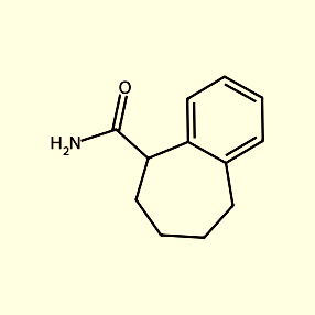 NC(=O)C1CCCCc2ccccc21